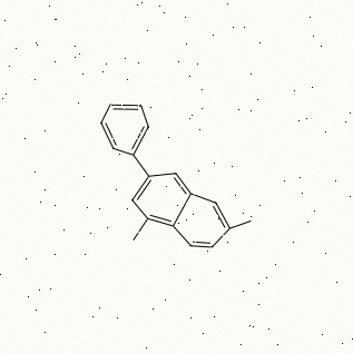 Cc1ccc2c(C)cc(-c3ccccc3)cc2c1